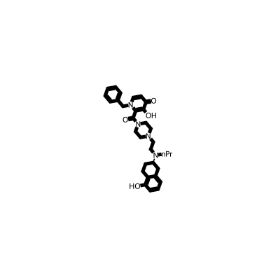 CCCN(CCN1CCN(C(=O)c2c(O)c(=O)ccn2Cc2ccccc2)CC1)[C@H]1CCc2c(O)cccc2C1